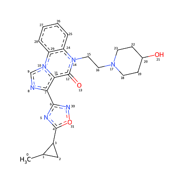 CC1CC1c1nc(-c2ncn3c2c(=O)n(CCN2CCC(O)CC2)c2ccccc23)no1